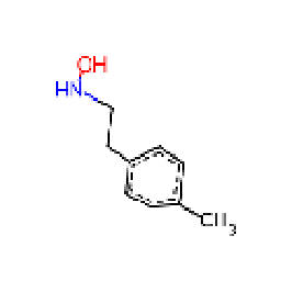 Cc1ccc(CCNO)cc1